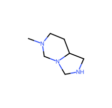 CN1CCC2CNCN2C1